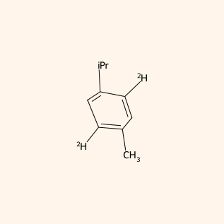 [2H]c1cc(C(C)C)c([2H])cc1C